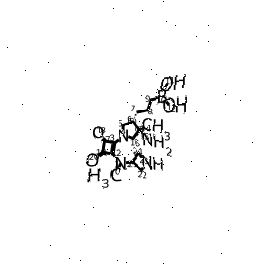 CN(c1c(N2C[C@H](CCCB(O)O)[C@@](C)(N)C2)c(=O)c1=O)C1CNC1